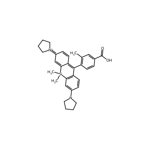 Cc1cc(C(=O)O)ccc1C1=C2C=CC(=[N+]3CCCC3)C=C2[Si](C)(C)c2cc(N3CCCC3)ccc21